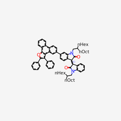 CCCCCCCCC(CCCCCC)CN1C(=O)/C(=C2/C(=O)N(CC(CCCCCC)CCCCCCCC)c3cc(-c4ccc5c6ccccc6c6oc(-c7ccccc7)c(-c7ccccc7)c6c5c4)ccc32)c2ccccc21